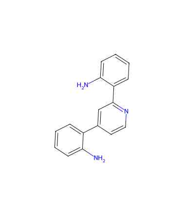 Nc1ccccc1-c1ccnc(-c2ccccc2N)c1